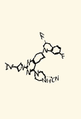 CN(C)C1CN(c2nc3c(c(N4CCN[C@@H](CC#N)C4)n2)CC[C@H](N2C[C@@H](F)Cc4ccc(F)cc42)C3)C1